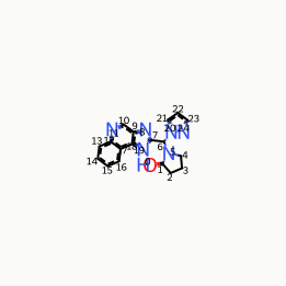 O=C1CCCN1C(c1nc2cnc3ccccc3c2[nH]1)n1cccn1